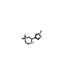 Cn1cc(C2CS(=O)(=O)CCN2)cn1